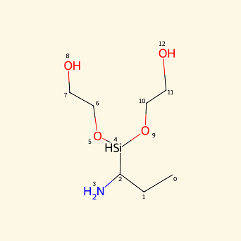 CCC(N)[SiH](OCCO)OCCO